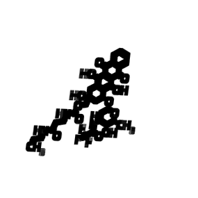 CCCNC(=O)CCNC(=O)OC[C@]1(O)Cc2c(O)c3c(c(O)c2[C@@H](O[C@H]2C[C@H](NC(=O)C(F)(F)F)[C@H](O)[C@H](C)O2)C1)C(=O)c1ccccc1C3=O